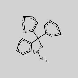 [AlH2][SiH2]OC(c1ccccc1)(c1ccccc1)c1ccccc1